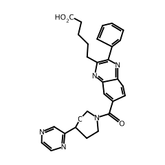 O=C(O)CCCCc1nc2cc(C(=O)N3CCC(c4cnccn4)CC3)ccc2nc1-c1ccccc1